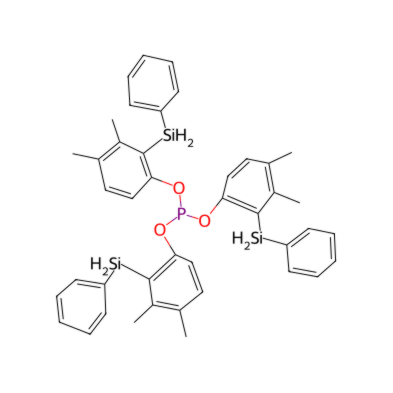 Cc1ccc(OP(Oc2ccc(C)c(C)c2[SiH2]c2ccccc2)Oc2ccc(C)c(C)c2[SiH2]c2ccccc2)c([SiH2]c2ccccc2)c1C